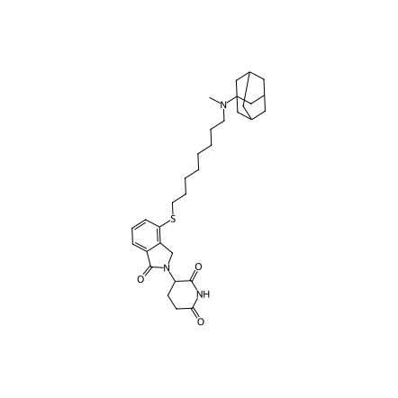 CN(CCCCCCCCSc1cccc2c1CN(C1CCC(=O)NC1=O)C2=O)C12CC3CC(CC(C3)C1)C2